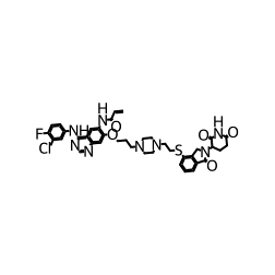 C=CC(=O)Nc1cc2c(Nc3ccc(F)c(Cl)c3)ncnc2cc1OCCCN1CCN(CCSc2cccc3c2CN(C2CCC(=O)NC2=O)C3=O)CC1